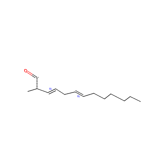 CCCCCC/C=C/C/C=C/C(C)[C]=O